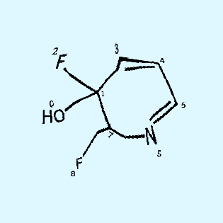 OC1(F)C=CC=NC1F